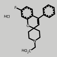 Cl.O=C(O)CN1CCC2(C=C(c3ccccc3)c3ccc(F)cc3O2)CC1